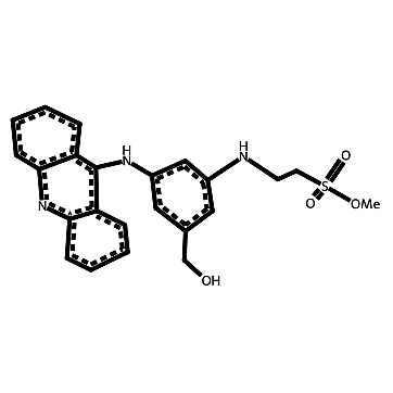 COS(=O)(=O)CCNc1cc(CO)cc(Nc2c3ccccc3nc3ccccc23)c1